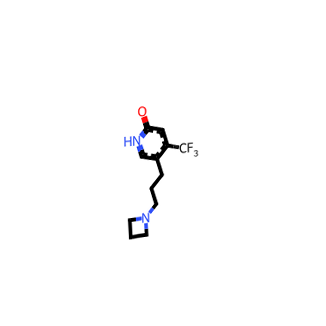 O=c1cc(C(F)(F)F)c(CCCN2CCC2)c[nH]1